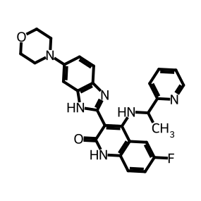 CC(Nc1c(-c2nc3ccc(N4CCOCC4)cc3[nH]2)c(=O)[nH]c2ccc(F)cc12)c1ccccn1